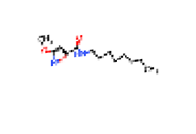 CCCCCCCCNC(=O)c1cc(OC)no1